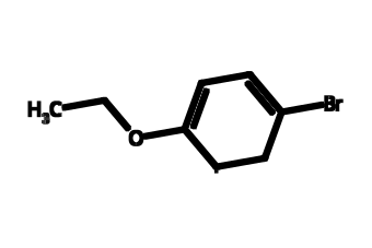 CCOC1=CC=C(Br)C[CH]1